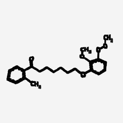 COOc1cccc(OCCCCCCC(=O)c2ccccc2C)c1OC